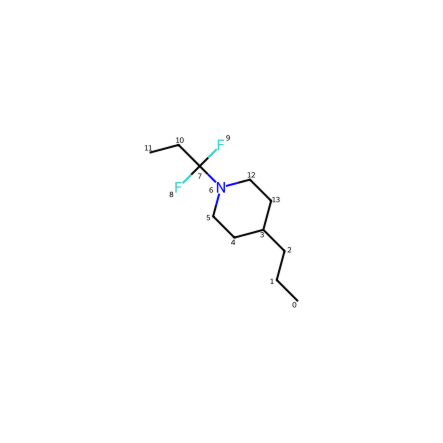 CCCC1CCN(C(F)(F)CC)CC1